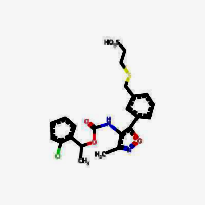 Cc1noc(-c2cccc(CSCCS(=O)(=O)O)c2)c1NC(=O)OC(C)c1ccccc1Cl